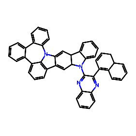 C1=CC2=C(c3nc4ccccc4nc3N3c4ccccc4C4C=c5c(c6cccc7c6n5-c5ccccc5-c5ccccc5-7)=CC43)C=CCC2C=C1